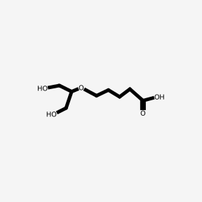 O=C(O)CCCCOC(CO)CO